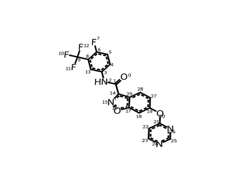 O=C(Nc1ccc(F)c(C(F)(F)F)c1)c1noc2cc(Oc3ccncn3)ccc12